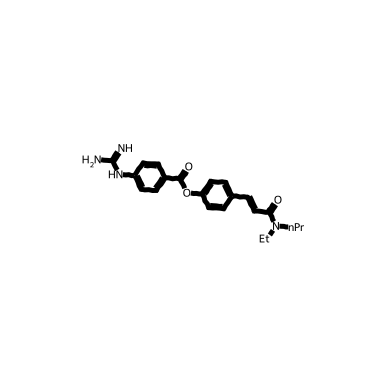 CCCN(CC)C(=O)/C=C/c1ccc(OC(=O)c2ccc(NC(=N)N)cc2)cc1